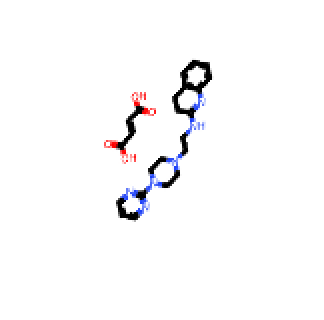 O=C(O)C=CC(=O)O.c1cnc(N2CCN(CCNC3=Nc4ccccc4CC3)CC2)nc1